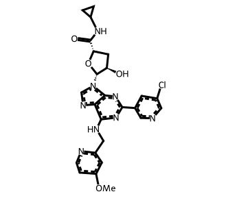 COc1ccnc(CNc2nc(-c3cncc(Cl)c3)nc3c2ncn3[C@@H]2O[C@H](C(=O)NC3CC3)C[C@H]2O)c1